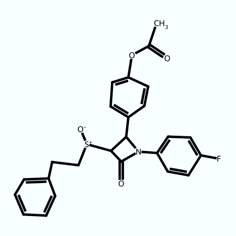 CC(=O)Oc1ccc(C2C([S+]([O-])CCc3ccccc3)C(=O)N2c2ccc(F)cc2)cc1